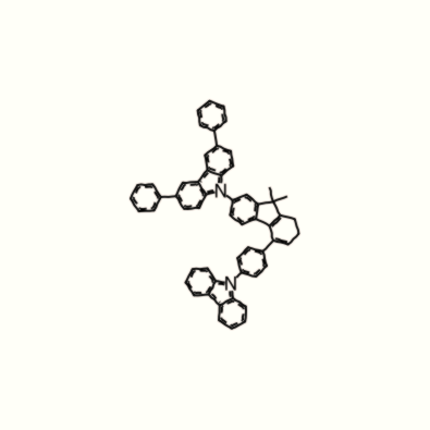 CC1(C)C2=C(C(c3ccc(-n4c5ccccc5c5ccccc54)cc3)=CCC2)c2ccc(-n3c4ccc(-c5ccccc5)cc4c4cc(-c5ccccc5)ccc43)cc21